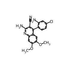 COc1cc2nc(N)c(C#N)c(-c3ccc(Cl)cc3N)c2cc1OC